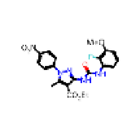 CCOC(=O)c1c(NC(=O)Nc2cccc(OC)c2F)nn(-c2ccc([N+](=O)[O-])cc2)c1C